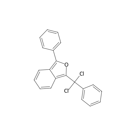 ClC(Cl)(c1ccccc1)c1oc(-c2ccccc2)c2ccccc12